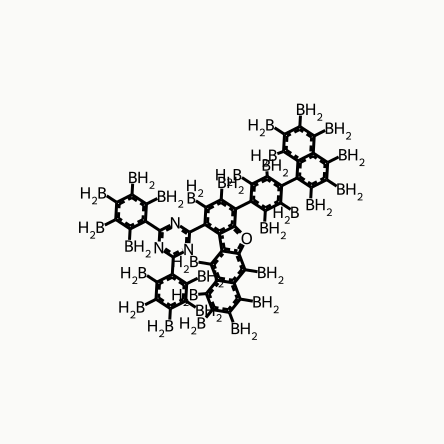 Bc1c(B)c(B)c(-c2nc(-c3c(B)c(B)c(B)c(B)c3B)nc(-c3c(B)c(B)c(-c4c(B)c(B)c(-c5c(B)c(B)c(B)c6c(B)c(B)c(B)c(B)c56)c(B)c4B)c4oc5c(B)c6c(B)c(B)c(B)c(B)c6c(B)c5c34)n2)c(B)c1B